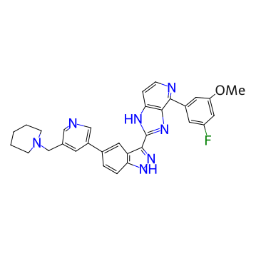 COc1cc(F)cc(-c2nccc3[nH]c(-c4n[nH]c5ccc(-c6cncc(CN7CCCCC7)c6)cc45)nc23)c1